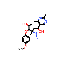 CCCOc1ccc(OC(C(C)O)C(C)(N)CC(O)c2cnc(C)nc2C)cc1